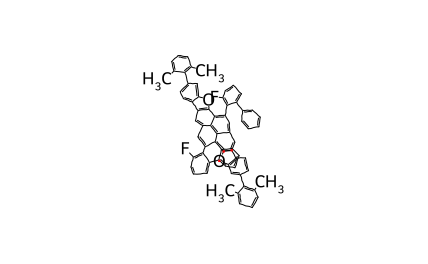 Cc1cccc(C)c1-c1ccc2c(c1)oc1c2cc2cc(-c3c(F)cccc3-c3ccccc3)c3c4oc5cc(-c6c(C)cccc6C)ccc5c4cc4cc(-c5c(F)cccc5-c5ccccc5)c1c2c43